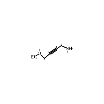 CCOCC#CC[NH]